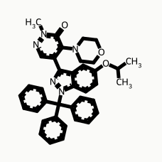 CC(C)Oc1ccc2c(c1)c(-c1cnn(C)c(=O)c1N1CCOCC1)nn2C(c1ccccc1)(c1ccccc1)c1ccccc1